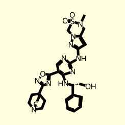 CN1Cc2cc(Nc3ncc(-c4nc(C56CCN(CC5)CC6)no4)c(N[C@H](CO)c4ccccc4)n3)nn2CS1(=O)=O